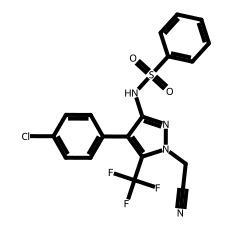 N#CCn1nc(NS(=O)(=O)c2ccccc2)c(-c2ccc(Cl)cc2)c1C(F)(F)F